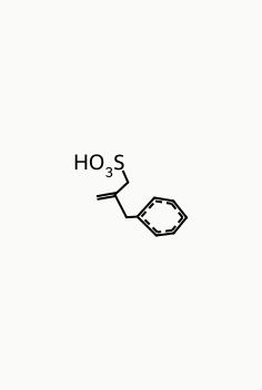 C=C(Cc1ccccc1)CS(=O)(=O)O